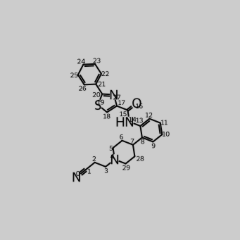 N#CCCN1CCC(c2ccccc2NC(=O)c2csc(-c3ccccc3)n2)CC1